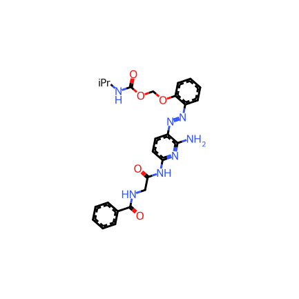 CC(C)NC(=O)OCOc1ccccc1/N=N/c1ccc(NC(=O)CNC(=O)c2ccccc2)nc1N